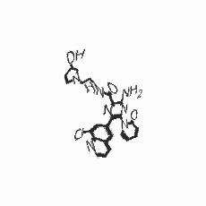 Nc1nc(-n2ccccc2=O)c(-c2cc(Cl)c3ncccc3c2)nc1C(=O)NCCN1CCC(O)C1